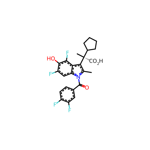 Cc1c([C@](C)(C(=O)O)C2CCCC2)c2c(F)c(O)c(F)cc2n1C(=O)c1ccc(F)c(F)c1